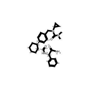 CN(C)C(=O)N(Cc1ccc([C@@H]2CCCC[C@H]2C(=O)N[C@H](C(N)=O)c2ccccc2)cc1)C1CC1